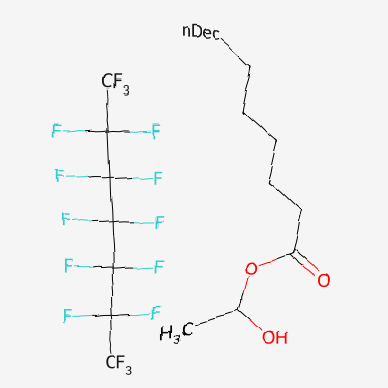 CCCCCCCCCCCCCCCC(=O)OC(C)O.FC(F)(F)C(F)(F)C(F)(F)C(F)(F)C(F)(F)C(F)(F)C(F)(F)F